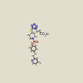 Cc1ccnc(CCc2ccc(OC(=O)N3CCC(Sc4nnnn4CCC(=O)O)CC3)cc2)c1